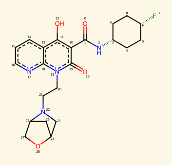 O=C(N[C@H]1CC[C@@H](F)CC1)c1c(O)c2cccnc2n(CCN2CC3CC2CO3)c1=O